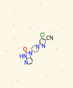 N#Cc1cnc(N2CCC(n3c(=O)[nH]c4ncccc43)CC2)cc1Cl